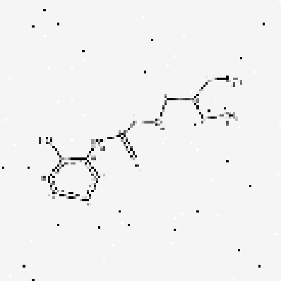 CCC(CC)COCC(=O)Nc1ccccc1O